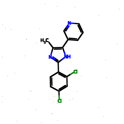 Cc1nc(-c2ccc(Cl)cc2Cl)[nH]c1-c1cccnc1